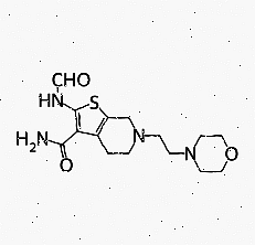 NC(=O)c1c(NC=O)sc2c1CCN(CCN1CCOCC1)C2